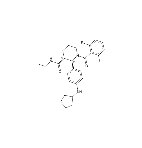 CCNC(=O)[C@H]1CCCN(C(=O)c2c(C)cccc2F)[C@H]1c1ccc(NC2CCCC2)cc1